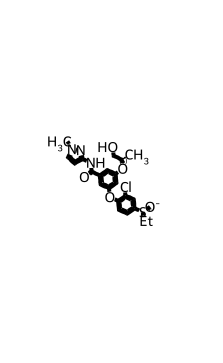 CC[S+]([O-])c1ccc(Oc2cc(O[C@@H](C)CO)cc(C(=O)Nc3ccn(C)n3)c2)c(Cl)c1